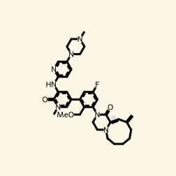 C=C1/C=C2/C(=O)N(c3cc(F)cc(-c4cc(Nc5ccc(N6CCN(C)CC6)cn5)c(=O)n(C)c4)c3COC)CCN2CCCCC1